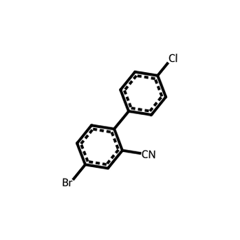 N#Cc1cc(Br)ccc1-c1ccc(Cl)cc1